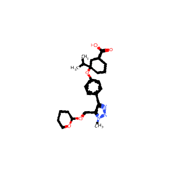 CC(C)C1(Oc2ccc(-c3nnn(C)c3COC3CCCCO3)cc2)CCCC(C(=O)O)C1